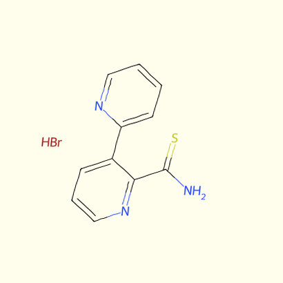 Br.NC(=S)c1ncccc1-c1ccccn1